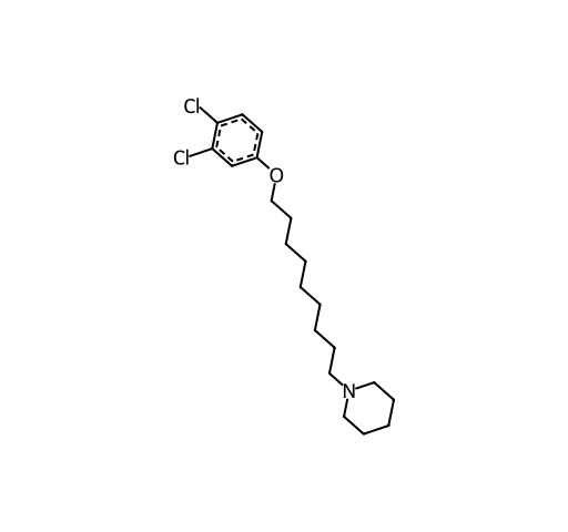 Clc1ccc(OCCCCCCCCCN2CCCCC2)cc1Cl